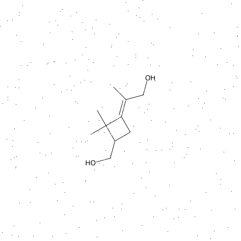 C/C(CO)=C1/CC(CO)C1(C)C